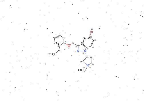 CCOC(=O)Cc1ccccc1OCc1nn([C@@H]2CCN(C(=O)OCC)C2)c2ccc(Br)cc12